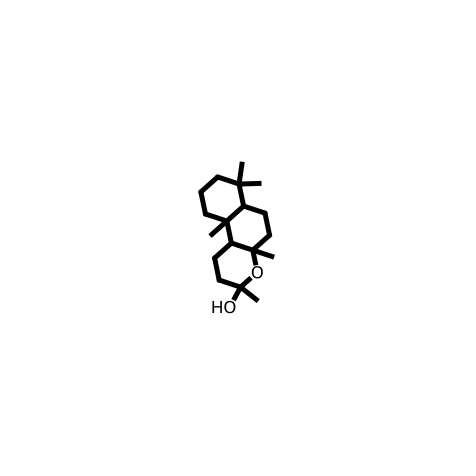 CC1(O)CCC2C(C)(CCC3C(C)(C)CCCC32C)O1